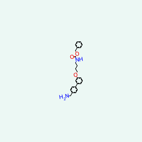 NCc1ccc(-c2cccc(OCCCCNC(=O)OCc3ccccc3)c2)cc1